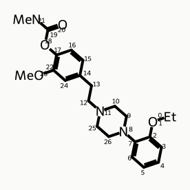 CCOc1ccccc1N1CCN(CCc2ccc(OC(=O)NC)c(OC)c2)CC1